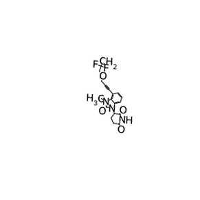 [CH2]C(F)(F)COCC#Cc1cccc2c1n(C)c(=O)n2C1CCC(=O)NC1=O